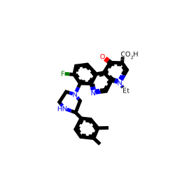 CCn1cc(C(=O)O)c(=O)c2c3ccc(F)c(N4CCNC(c5ccc(C)c(C)c5)C4)c3ncc21